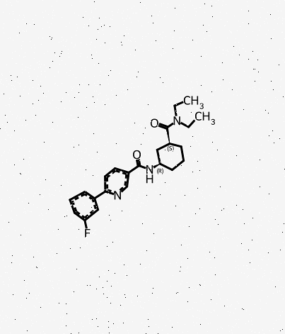 CCN(CC)C(=O)[C@H]1CCC[C@@H](NC(=O)c2ccc(-c3cccc(F)c3)nc2)C1